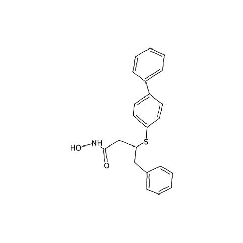 O=C(CC(Cc1ccccc1)Sc1ccc(-c2ccccc2)cc1)NO